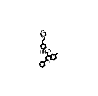 Cc1ccc2nc(-c3ccccc3)cc(C(=O)Nc3ccc(CCN4CCOCC4)cc3)c2c1